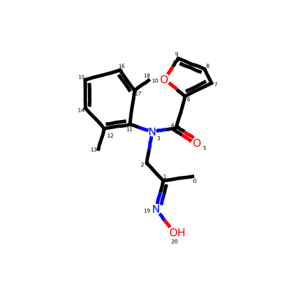 C/C(CN(C(=O)c1ccco1)c1c(C)cccc1C)=N\O